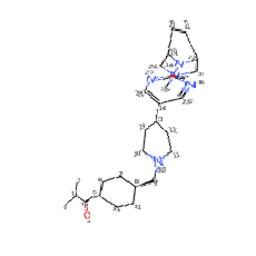 CC(C)C(=O)[C@H]1CC[C@@H](CN2CCC(c3cnc(N4C5CCC4CN(C)C5)nc3)CC2)CC1